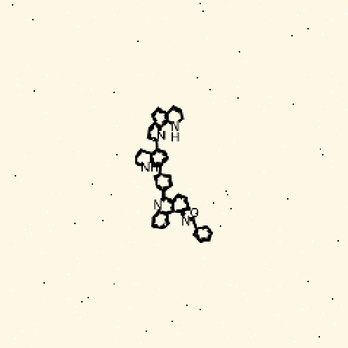 C1=Cc2c(-c3ccc4ccc5c(c4n3)NCC=C5)ccc(-c3ccc(-c4nc5ccccc5c5c4ccc4oc(-c6ccccc6)nc45)cc3)c2NC1